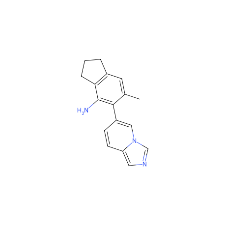 Cc1cc2c(c(N)c1-c1ccc3cncn3c1)CCC2